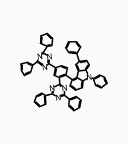 c1ccc(-c2ccc3c(c2)c2c(-c4ccc(-c5nc(-c6ccccc6)nc(-c6ccccc6)n5)cc4-c4nc(-c5ccccc5)nc(-c5ccccc5)n4)cccc2n3-c2ccccc2)cc1